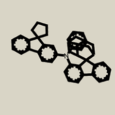 c1ccc(N(c2ccc3c(c2)C2(CCCC2)c2ccccc2-3)c2cccc3c2C2(c4ccccc4-3)C3CC4CC(C3)CC2C4)cc1